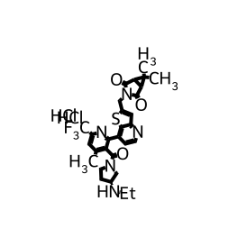 CCN[C@H]1CCN(C(=O)c2c(C)cc(C(F)(F)F)nc2-c2ccnc3cc(CN4C(=O)C5C(C4=O)C5(C)C)sc23)C1.Cl.Cl